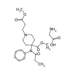 CCC(=O)N(c1ccccc1)C1(C(=O)OC)CCN(CCC(=O)OC)CC1.NCC(=O)O